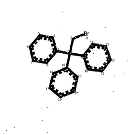 BrCC(c1ccccc1)(c1ccccc1)c1ccccc1